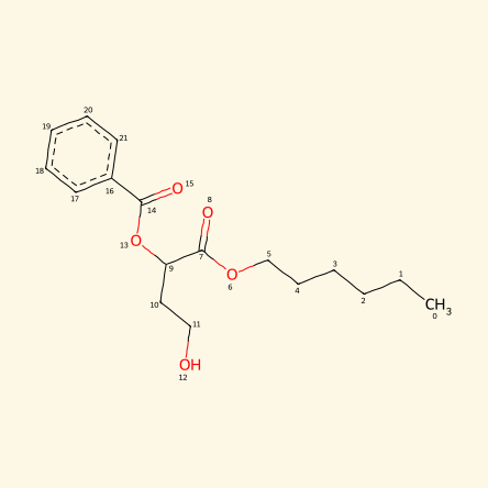 CCCCCCOC(=O)C(CCO)OC(=O)c1ccccc1